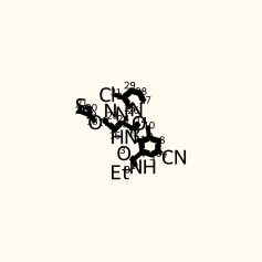 CCNC(=O)c1cc(C#N)cc(C)c1NC(=O)c1cc(OC2CSC2)nn1-c1ncccc1Cl